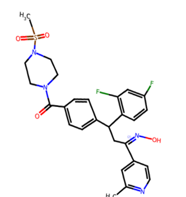 Cc1cc(/C(CC(c2ccc(C(=O)N3CCN(S(C)(=O)=O)CC3)cc2)c2ccc(F)cc2F)=N\O)ccn1